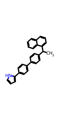 CC(c1ccc(-c2ccc(-c3ccc[nH]3)cc2)cc1)c1cccc2ccccc12